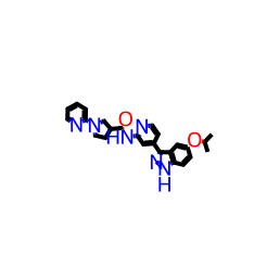 CC(C)Oc1ccc2[nH]nc(-c3ccnc(NC(=O)C4CCN(c5ccccn5)C4)c3)c2c1